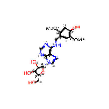 COc1cc(CNc2ncnc3c2ncn3[C@@H]2O[C@H](CO)[C@@H](O)[C@H]2O)c(OC)cc1O